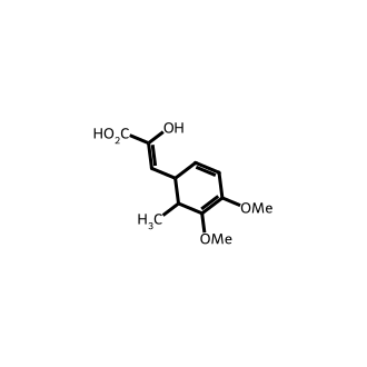 COC1=C(OC)C(C)C(/C=C(\O)C(=O)O)C=C1